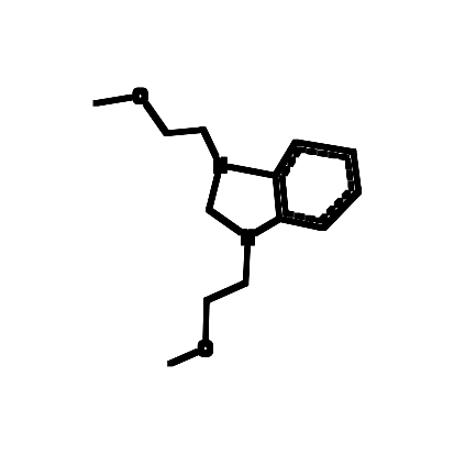 COCCN1CN(CCOC)c2ccccc21